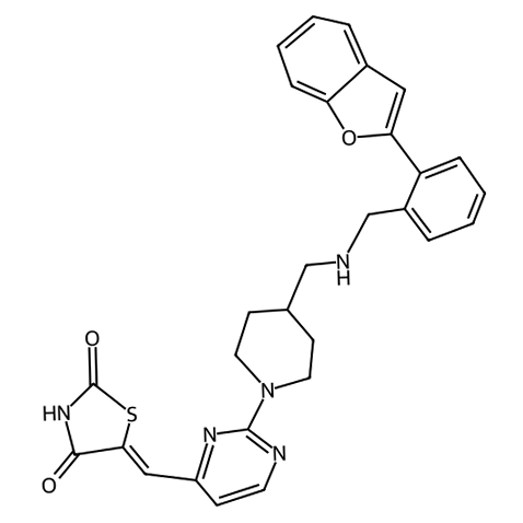 O=C1NC(=O)C(=Cc2ccnc(N3CCC(CNCc4ccccc4-c4cc5ccccc5o4)CC3)n2)S1